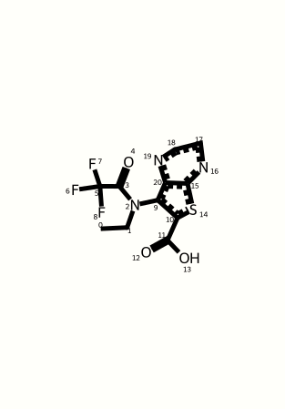 CCN(C(=O)C(F)(F)F)c1c(C(=O)O)sc2nccnc12